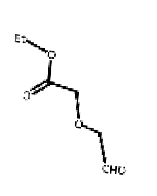 CCOC(=O)COCC=O